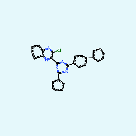 Clc1nc2ccccc2nc1-c1nc(-c2ccccc2)nc(-c2ccc(-c3ccccc3)cc2)n1